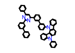 c1ccc(-c2cccc(-c3nc(-c4ccccc4)cc(-c4cccc(-c5cccc(-n6c7ccccc7c7ccc8c(c9ccccc9n8-c8ccccc8)c76)c5)c4)n3)c2)cc1